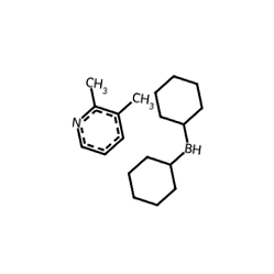 B(C1CCCCC1)C1CCCCC1.Cc1cccnc1C